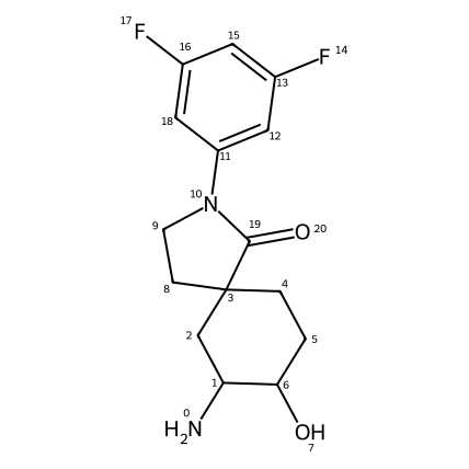 NC1CC2(CCC1O)CCN(c1cc(F)cc(F)c1)C2=O